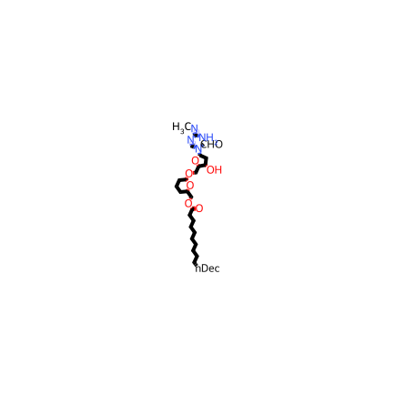 CCCCCCCCCCCCCCCCCCCC(=O)OCC1CCCC(OCC2OC(N(C=O)/C=N\C(N)=N/C)CC2O)O1